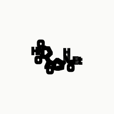 CCC(=O)Nc1ccc2occ(C3CCC(=O)NC3=O)c2c1